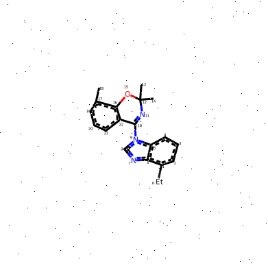 CCc1cccc2c1ncn2C1=NC(C)(C)Oc2c(C)cccc21